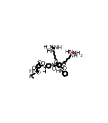 COc1cc(OC)c(C(=O)N[C@H]2CC[C@H](NC(=O)c3cc(C(=O)NC4CCCCC4)c(OCCCCCNC(=N)N)cc3OCCCCCNC(=N)N)CC2)cc1C(=O)NCCN(C)C